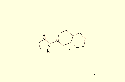 C1CCC2CN(C3=NCCN3)CCC2C1